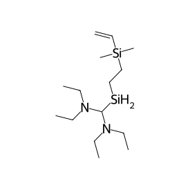 C=C[Si](C)(C)CC[SiH2]C(N(CC)CC)N(CC)CC